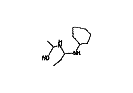 CCC(NC(C)O)NC1CCCCC1